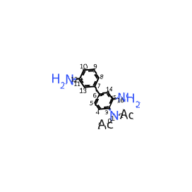 CC(=O)N(C(C)=O)c1ccc(-c2cccc(N)c2)cc1N